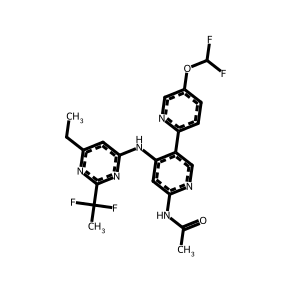 CCc1cc(Nc2cc(NC(C)=O)ncc2-c2ccc(OC(F)F)cn2)nc(C(C)(F)F)n1